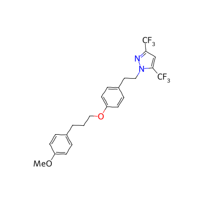 COc1ccc(CCCOc2ccc(CCn3nc(C(F)(F)F)cc3C(F)(F)F)cc2)cc1